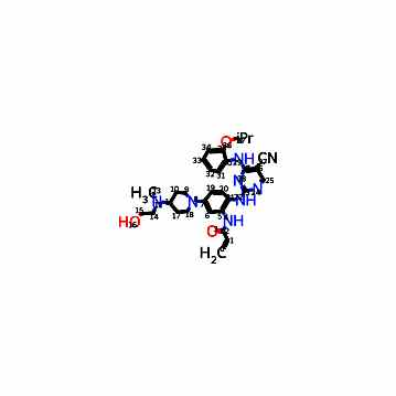 C=CC(=O)Nc1cc(N2CCC(N(C)CCO)CC2)ccc1Nc1ncc(C#N)c(Nc2ccccc2OC(C)C)n1